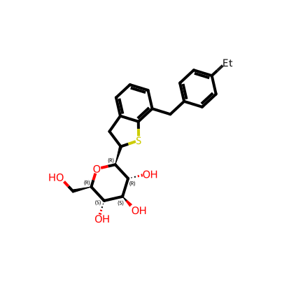 CCc1ccc(Cc2cccc3c2SC([C@@H]2O[C@H](CO)[C@@H](O)[C@H](O)[C@H]2O)C3)cc1